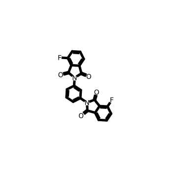 O=C1c2cccc(F)c2C(=O)N1c1cccc(N2C(=O)c3cccc(F)c3C2=O)c1